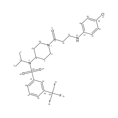 CC(C)N(C1CCN(C(=O)CCNc2ccc(Cl)cc2)CC1)S(=O)(=O)c1cccc(C(F)(F)F)c1